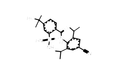 CC(C)c1cc(C#N)cc(C(C)C)c1NC(=O)c1ccc(C(C)(C)O)cc1S(=N)(N)=O